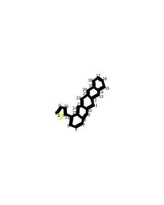 c1csc(-c2cccc3cc4cc5cc6ccccc6cc5cc4cc23)c1